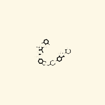 Cc1cccc(C)c1Nc1nn(C)c2nc(Nc3ccc4c(c3)CN(CC3CCN(c5ccc6c(=O)n(C7CCCNC7=O)nnc6c5)CC3)C4)ncc12